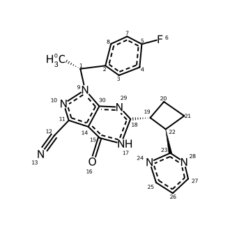 C[C@H](c1ccc(F)cc1)n1nc(C#N)c2c(=O)[nH]c([C@@H]3CC[C@H]3c3ncccn3)nc21